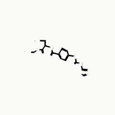 CC(C)CC(NC(=O)c1ccc(NC(=O)Nc2nncs2)cc1)C(=O)NCC#N